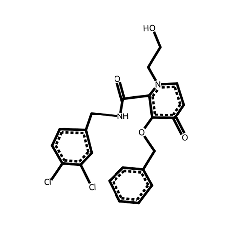 O=C(NCc1ccc(Cl)c(Cl)c1)c1c(OCc2ccccc2)c(=O)ccn1CCO